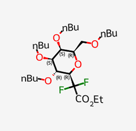 CCCCOC[C@H]1O[C@@H](C(F)(F)C(=O)OCC)[C@H](OCCCC)[C@@H](OCCCC)[C@H]1OCCCC